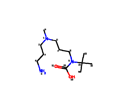 CN(CCCN)CCCN(C(=O)O)C(C)(C)C